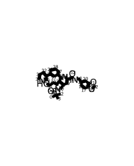 CC(C)(C)[S@@+]([O-])N1Cc2cc(C(=O)NCc3ccc4c(c3)OCO4)nc(-c3cccc(-c4cccnc4)c3)c2C1CCO